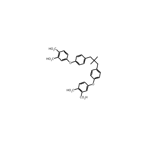 CC(C)(Cc1ccc(Oc2ccc(C(=O)O)c(C(=O)O)c2)cc1)Cc1ccc(Oc2ccc(C(=O)O)c(C(=O)O)c2)cc1